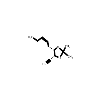 C#C[C@H]1OC(C)(C)O[C@H]1C/C=C\CC